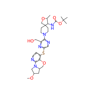 COC1CC2COc3c(Sc4cnc(N5CCC6(CC5)COC(C)C6NC(=O)OC(C)(C)C)c(CO)n4)ccnc3N2C1